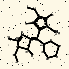 Bn1c(C)c(CC)c(C)c1/C(=C1\N=C(C)C(CC)C1C)C1CCCCC1